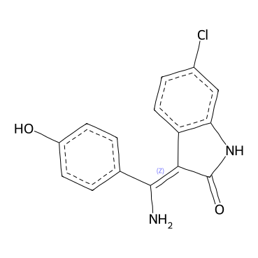 N/C(=C1\C(=O)Nc2cc(Cl)ccc21)c1ccc(O)cc1